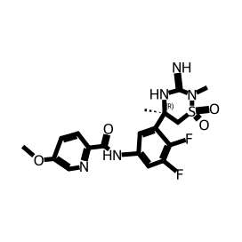 COc1ccc(C(=O)Nc2cc(F)c(F)c([C@]3(C)CS(=O)(=O)N(C)C(=N)N3)c2)nc1